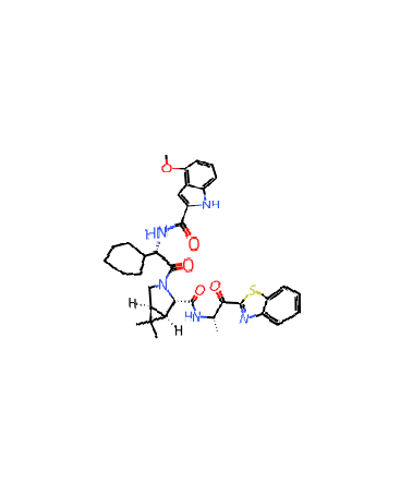 COc1cccc2[nH]c(C(=O)N[C@H](C(=O)N3C[C@H]4[C@@H]([C@H]3C(=O)N[C@@H](C)C(=O)c3nc5ccccc5s3)C4(C)C)C3CCCCC3)cc12